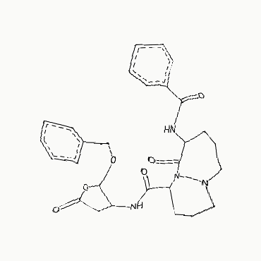 O=C1CC(NC(=O)C2CCCN3CCCC(NC(=O)c4ccccc4)C(=O)N23)C(OCc2ccccc2)O1